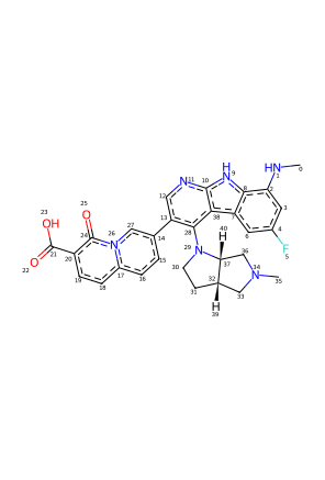 CNc1cc(F)cc2c1[nH]c1ncc(-c3ccc4ccc(C(=O)O)c(=O)n4c3)c(N3CC[C@H]4CN(C)C[C@H]43)c12